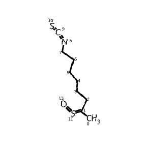 CC(CCCCCCN=C=S)=S=O